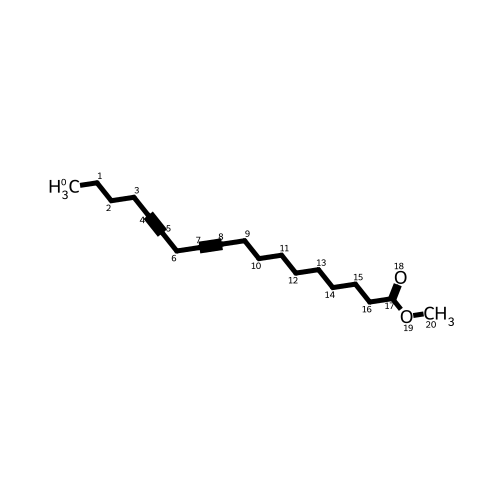 CCCCC#CCC#CCCCCCCCCC(=O)OC